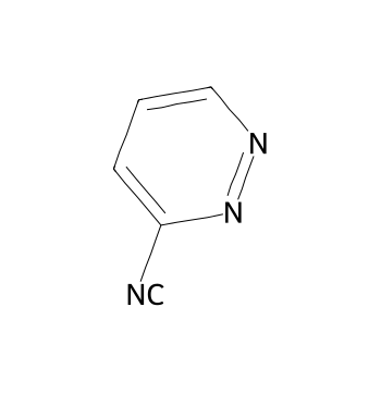 [C-]#[N+]c1cccnn1